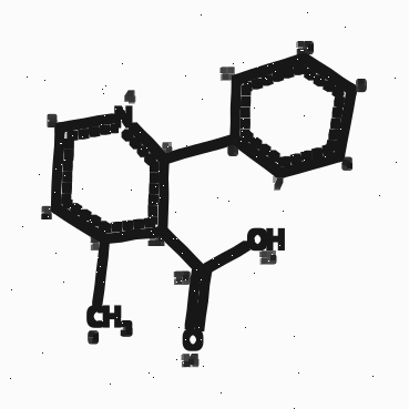 Cc1ccnc(-c2ccccc2)c1C(=O)O